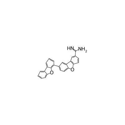 N=C(N)c1ccc2oc3ccc(-c4cccc5c4oc4ccccc45)cc3c2c1